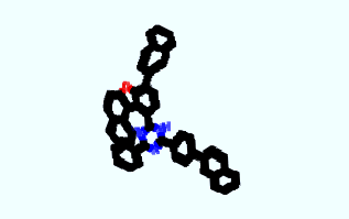 c1ccc(C2N=C(c3ccc(-c4ccc5ccccc5c4)cc3)NC(c3ccc(-c4ccc5ccccc5c4)c4oc5ccc6ccccc6c5c34)N2)cc1